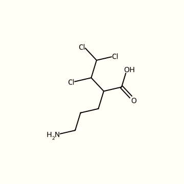 NCCCC(C(=O)O)C(Cl)C(Cl)Cl